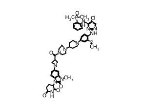 COc1cc(N2CCC(N3CCN(C(=O)C4CN(c5ccc6c(c5)n(C)c(=O)n6C5CCC(=O)NC5=O)C4)CC3)CC2)ccc1Nc1ncc(Cl)c(Nc2ccccc2P(C)(C)=O)n1